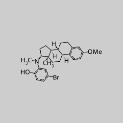 COc1ccc2c(c1)CC[C@@H]1[C@@H]2CC[C@]2(C)[C@@H](N(C)c3cc(Br)ccc3O)CC[C@@H]12